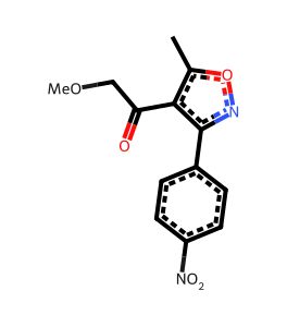 COCC(=O)c1c(-c2ccc([N+](=O)[O-])cc2)noc1C